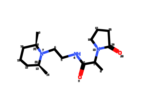 CC(C(=O)NCCN1[C@H](C)CCC[C@@H]1C)N1CCCC1=O